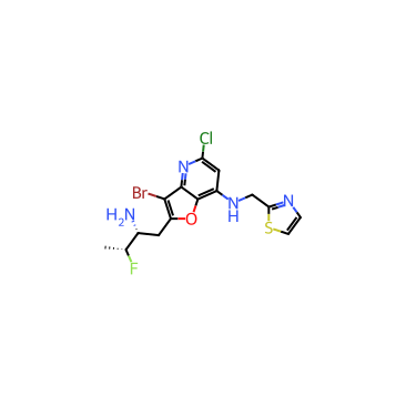 C[C@@H](F)[C@H](N)Cc1oc2c(NCc3nccs3)cc(Cl)nc2c1Br